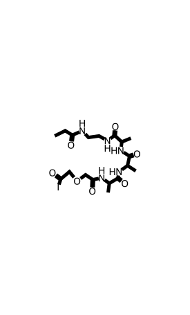 CCC(=O)NCCNC(=O)C(C)NC(=O)C(C)NC(=O)C(C)NC(=O)COCC(=O)I